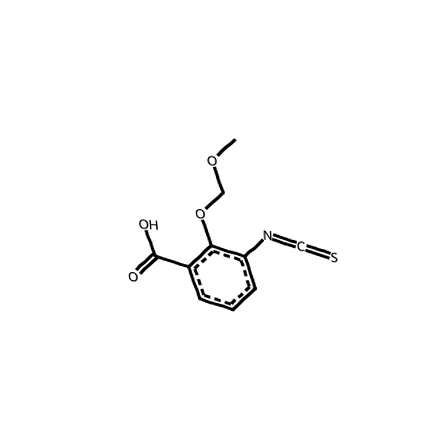 COCOc1c(N=C=S)cccc1C(=O)O